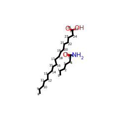 CCCCCC(N)=O.CCCCCCCCCCCCCCCCCC(=O)O